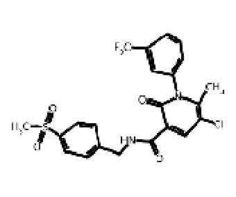 Cc1c(Cl)cc(C(=O)NCc2ccc(S(C)(=O)=O)cc2)c(=O)n1-c1cccc(C(F)(F)F)c1